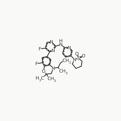 CCC(C)N1CC(C)(C)Oc2c(F)cc(-c3nc(Nc4ccc(N5CCCCS5(=O)=O)cn4)ncc3F)cc21